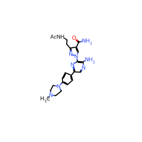 CC(=O)NCCc1nn(-c2nc(-c3ccc(N4CCN(C)CC4)cc3)cnc2N)cc1C(N)=O